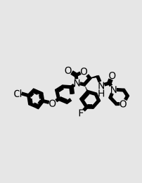 C=C(/C=C\C(=C/C)Oc1ccc(Cl)cc1)N1C(=O)O[C@@H](CNC(=O)N2CCOCC2)[C@@H]1C1=CC(F)=CCC1